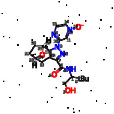 CC(C)(C)C(CO)NC(=O)c1nn(-c2c[n+]([O-])ccn2)c2c1C[C@H]1CC[C@@H]2O1